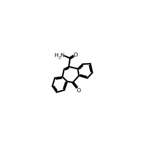 NC(=O)c1cc2ccccc2c(=O)c2ccccc12